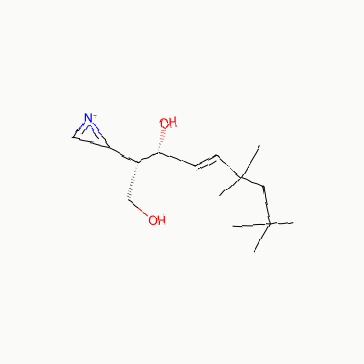 CC(C)(C)CC(C)(C)/C=C/[C@@H](O)[C@H](CO)C1=[N+]=C1